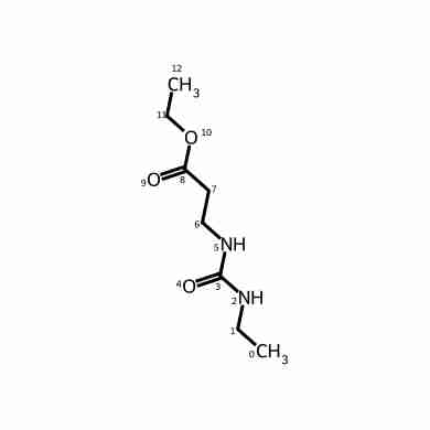 CCNC(=O)NCCC(=O)OCC